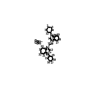 [Br-].[Br-].c1ccc(-[n+]2cn(CCn3c[n+](-c4ccccc4)c4ccccc43)c3ccccc32)cc1